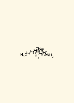 CCCCCCC(C)(C)N1CCN(CCN)CC1